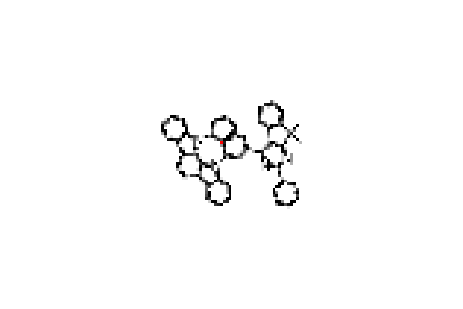 CC1(C)c2ccccc2-c2c(-c3cccc(-n4c5ccccc5c5ccc6c7ccccc7n(-c7ccccc7)c6c54)c3)nc(-c3ccccc3)nc21